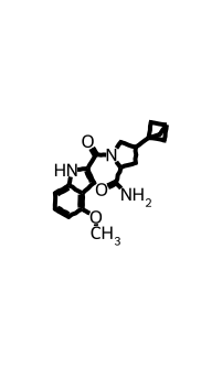 COc1cccc2[nH]c(C(=O)N3CC(C45CC(C4)C5)CC3C(N)=O)cc12